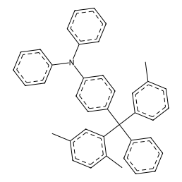 Cc1cccc(C(c2ccccc2)(c2ccc(N(c3ccccc3)c3ccccc3)cc2)c2cc(C)ccc2C)c1